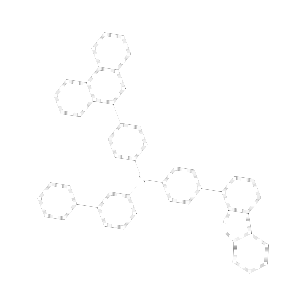 c1ccc(-c2cccc(N(c3ccc(-c4cc5ccccc5c5ccccc45)cc3)c3ccc(-c4cccc5c4oc4ccccc45)cc3)c2)cc1